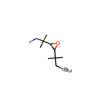 CC(C)(C)CC(C)(C)C1OC1C(C)(C)CI